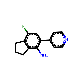 Nc1c(-c2ccncc2)cc(F)c2c1CCC2